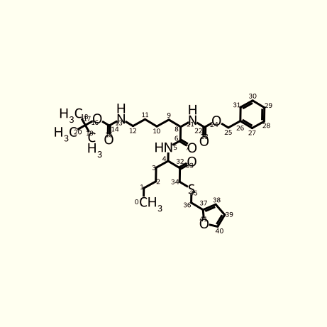 CCCCC(NC(=O)C(CCCCNC(=O)OC(C)(C)C)NC(=O)OCc1ccccc1)C(=O)CSCc1ccco1